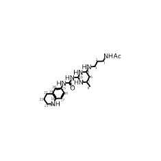 CC(=O)NCCCNC1CC(C)NC(NC(=O)Nc2ccc3c(c2)CCCN3)N1